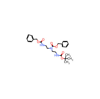 CC(C)(C)OC(=O)NCCN(CCNC(=O)OCc1ccccc1)C(=O)OCc1ccccc1